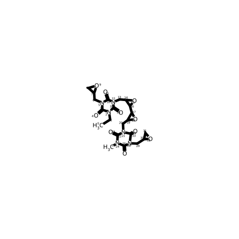 CCn1c(=O)n(CC2CO2)c(=O)n(CC2OC2C2OC2Cn2c(=O)n(C)c(=O)n(CC3CO3)c2=O)c1=O